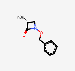 CCCC[C@@H]1CN(OCc2ccccc2)C1=O